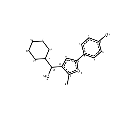 Cc1oc(-c2ccc(Cl)cc2)cc1C(O)C1CCCCC1